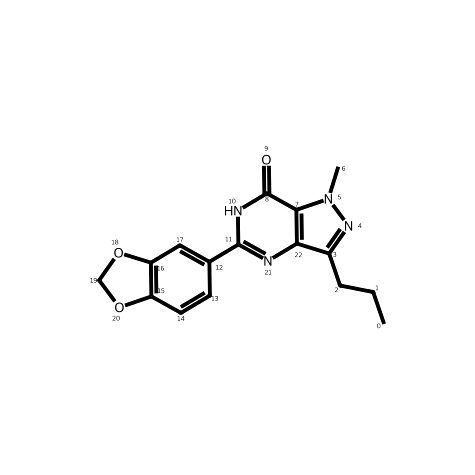 CCCc1nn(C)c2c(=O)[nH]c(-c3ccc4c(c3)OCO4)nc12